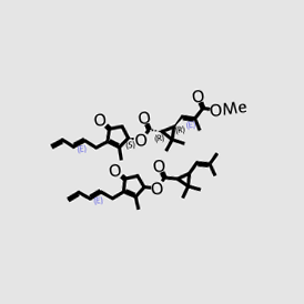 C=C/C=C/CC1=C(C)C(OC(=O)C2C(C=C(C)C)C2(C)C)CC1=O.C=C/C=C/CC1=C(C)[C@@H](OC(=O)[C@@H]2[C@@H](/C=C(\C)C(=O)OC)C2(C)C)CC1=O